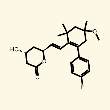 COC1(C)CC(c2ccc(F)cc2)=C(/C=C/[C@@H]2C[C@@H](O)CC(=O)O2)C(C)(C)C1